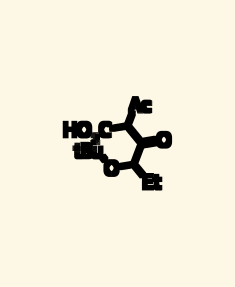 CCC(OC(C)(C)C)C(=O)C(C(C)=O)C(=O)O